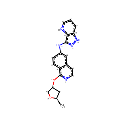 C[C@@H]1C[C@H](Oc2nccc3cc(Nc4n[nH]c5cccnc45)ccc23)CO1